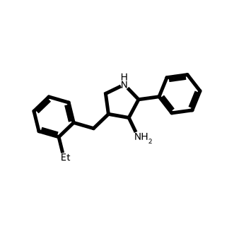 CCc1ccccc1CC1CNC(c2ccccc2)C1N